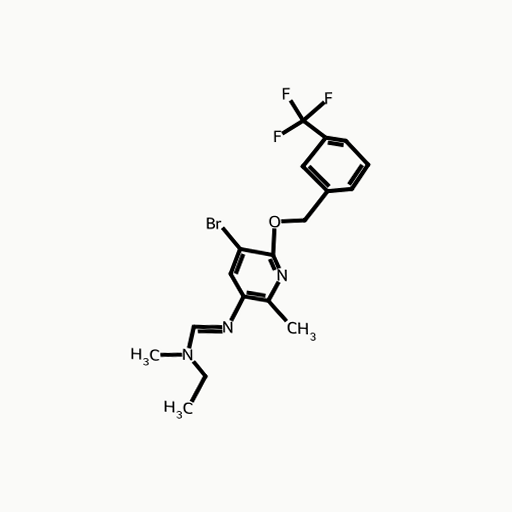 CCN(C)/C=N/c1cc(Br)c(OCc2cccc(C(F)(F)F)c2)nc1C